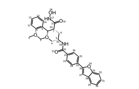 COCOC[C@H](C[C@H](Cc1ccccc1)C(=O)NO)NC(=O)c1ccc(-c2cc3ccccc3o2)cc1